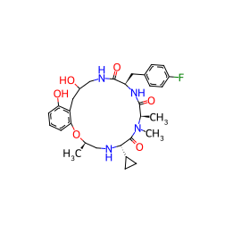 C[C@@H]1CN[C@@H](C2CC2)C(=O)N(C)[C@H](C)C(=O)N[C@H](Cc2ccc(F)cc2)C(=O)NCC(O)Cc2c(O)cccc2O1